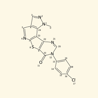 Cn1ncc2cnc3sc4c(=O)n(-c5ccc(Cl)cc5)cnc4c3c21